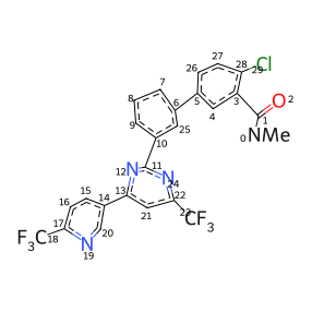 CNC(=O)c1cc(-c2cccc(-c3nc(-c4ccc(C(F)(F)F)nc4)cc(C(F)(F)F)n3)c2)ccc1Cl